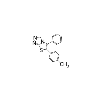 Cc1ccc(-c2sc3nncn3c2-c2ccccc2)cc1